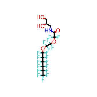 O=C(NCC(O)CO)C(F)(F)OC(F)(F)C(F)(F)OC(F)(F)C(F)(F)C(F)(F)C(F)(F)C(F)(F)C(F)(F)F